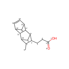 CC1C(CCC(=O)O)C2CC1C1C3C=CC(C3)C21